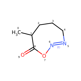 CC1CCC/N=N/OC1=O